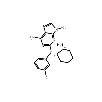 CCn1cnc2c(N)nc(N(c3cccc(Cl)c3)[C@H]3CCCC[C@H]3N)nc21